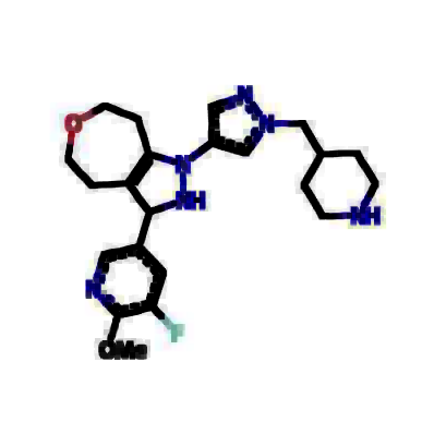 COc1ncc(C2NN(c3cnn(CC4CCNCC4)c3)C3=C2CCOCC3)cc1F